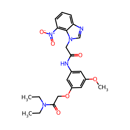 CCN(CC)C(=O)COc1cc(NC(=O)Cn2cnc3cccc([N+](=O)[O-])c32)cc(OC)c1